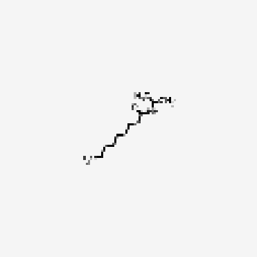 [CH2]C(C)NC(=O)CCCCCCCC